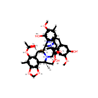 COc1cc2c(cc1O)CCN[C@]21CS[C@@H]2c3c(OC(C)=O)c(C)c4c(c3[C@H](COC1=O)N1C2C2c3c(cc(C)c(OC)c3O)CC([C@@H]1O)N2C)OCO4